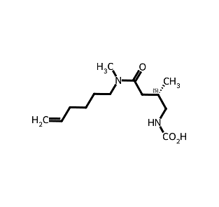 C=CCCCCN(C)C(=O)C[C@H](C)CNC(=O)O